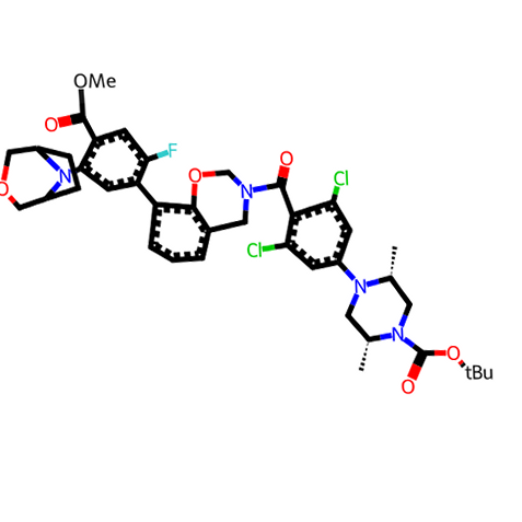 COC(=O)c1cc(F)c(-c2cccc3c2OCN(C(=O)c2c(Cl)cc(N4C[C@@H](C)N(C(=O)OC(C)(C)C)C[C@H]4C)cc2Cl)C3)cc1N1C2CCC1COC2